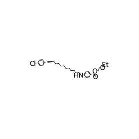 CCOCCOC(=O)c1ccc(NCCCCCCCCCCCC#Cc2ccc(Cl)cc2)cc1